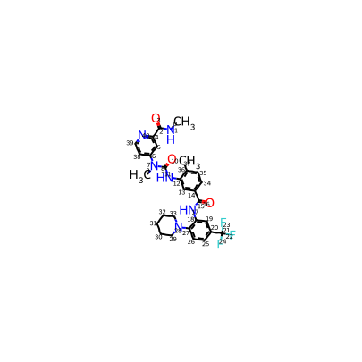 CNC(=O)c1cc(N(C)C(=O)Nc2cc(C(=O)Nc3cc(C(F)(F)F)ccc3N3CCCCC3)ccc2C)ccn1